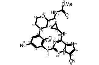 COC(=O)NCC1CN(c2cc(C#N)cc(Nc3nc(NC4CC4)c4ncc(C#N)n4n3)c2Cl)CCO1